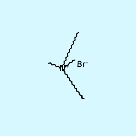 CCCCCCCCCCCCCCCCCC[N+](CCCCCCC)(CCCCCCC)CCCCCCCCCCCCCCCCCC.[Br-]